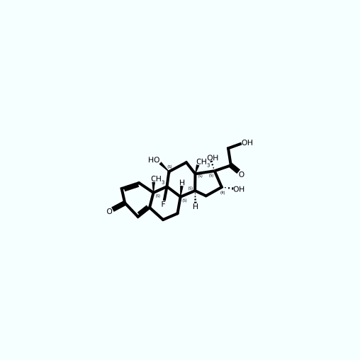 C[C@]12C=CC(=O)C=C1CC[C@H]1[C@@H]3C[C@@H](O)[C@](O)(C(=O)CO)[C@@]3(C)C[C@H](O)C12F